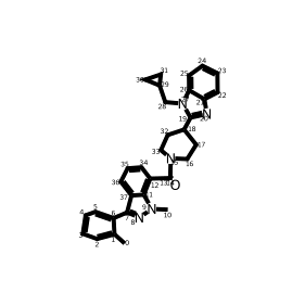 Cc1ccccc1-c1nn(C)c2c(C(=O)N3CCC(c4nc5ccccc5n4CC4CC4)CC3)cccc12